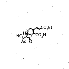 CCOC(=O)C=CC1=C(C(=O)O)N2C(=O)C(N(C#N)C(C)=O)[C@@H]2SC1